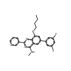 CCCCOc1cc(-c2cc(F)cc(F)c2)cc2c(NC)nc(-c3cccnc3)nc12